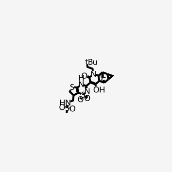 CC(C)(C)CCN1C(=O)C(C2=NS(=O)(=O)C3=C(N2)SCC3CNS(C)(=O)=O)=C(O)C2C3CCC(C4CC43)C21